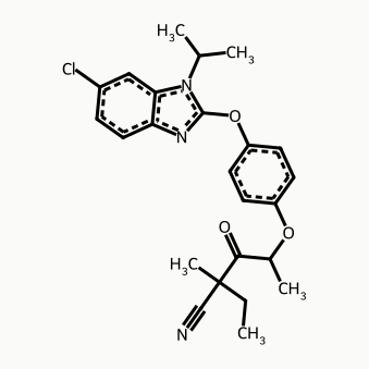 CCC(C)(C#N)C(=O)C(C)Oc1ccc(Oc2nc3ccc(Cl)cc3n2C(C)C)cc1